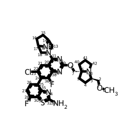 COC[C@H]1CC[C@@]2(COc3nc(N4CC5CCC(C4)N5)c4cc(Cl)c(-c5ccc(F)c6sc(N)nc56)c(F)c4n3)CCCN12